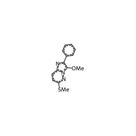 COc1c(-c2ccccc2)nc2ccc(SC)nn12